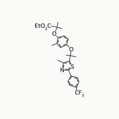 CCOC(=O)C(C)(C)Oc1ccc(OC(C)(C)c2sc(-c3ccc(C(F)(F)F)cc3)nc2C)cc1C